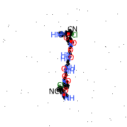 N#Cc1cc(Cl)cc2c1C[C@H](N1CCNCC1)[C@H]2Oc1ccc2c(c1)CN(CCOCCNC(=O)NCCCCNC(=O)NCCOCCN1Cc3cc(O[C@H]4c5cc(Cl)cc(C#N)c5C[C@@H]4N4CCNCC4)ccc3C1=O)C2=O